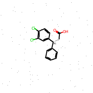 O=C(O)C[C@H](c1ccccc1)c1ccc(Cl)c(Cl)c1